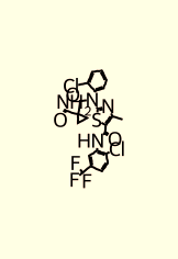 Cc1nc(N(C(=O)C2(C(N)=O)CC2)c2ccccc2Cl)sc1C(=O)Nc1cc(C(F)(F)F)ccc1Cl